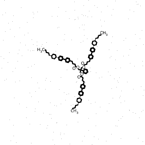 CCCCC[C@H]1CC[C@H](c2ccc(-c3ccc(CCCC(=O)OCC(COC(=O)CCCc4ccc(-c5ccc([C@H]6CC[C@H](CCCCC)CC6)cc5)cc4)(COC(=O)CCCc4ccc(-c5ccc([C@H]6CC[C@H](CCCCC)CC6)cc5)cc4)c4ccccc4)cc3)cc2)CC1